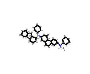 CN(c1ccccc1)c1ccc2c(ccc3cc(N(c4ccccc4)c4cccc5c4Cc4ccccc4-5)ccc32)c1